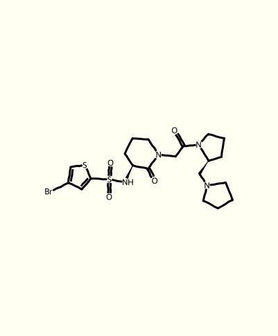 O=C1[C@@H](NS(=O)(=O)c2cc(Br)cs2)CCCN1CC(=O)N1CCC[C@H]1CN1CCCC1